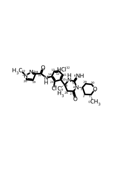 C[C@@H]1C[C@H](N2C(=N)N[C@](C)(c3cccc(NC(=O)c4ccn(C)n4)c3Cl)CC2=O)CCO1.Cl